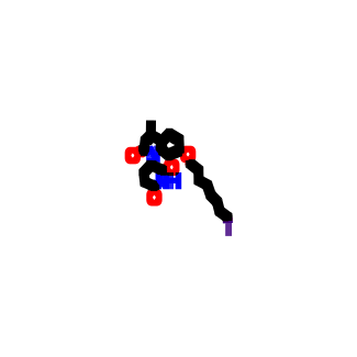 Cc1cc(=O)n(C2CCC(=O)NC2=O)c2cc(OCCCCCCCCI)ccc12